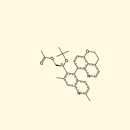 CC(=O)OC[C@@H](OC(C)(C)C)c1c(C)cc2nc(C)ccc2c1-c1ccc2c3c(ccnc13)CCO2